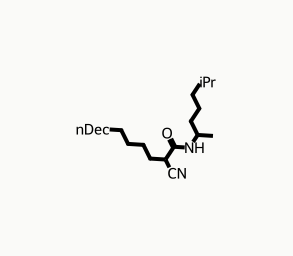 CCCCCCCCCCCCCCC(C#N)C(=O)NC(C)CCCC(C)C